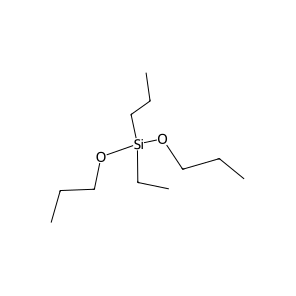 CCCO[Si](CC)(CCC)OCCC